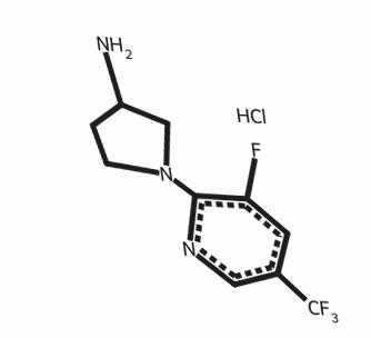 Cl.NC1CCN(c2ncc(C(F)(F)F)cc2F)C1